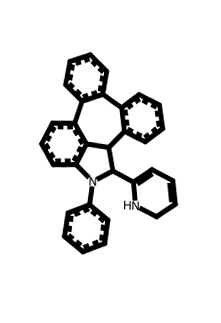 C1=CCNC(C2C3c4ccccc4-c4ccccc4-c4cccc(c43)N2c2ccccc2)=C1